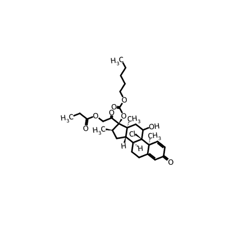 CCCCCOC(=O)O[C@]1(C(=O)COC(=O)CC)[C@H](C)C[C@H]2[C@@H]3CCC4=CC(=O)C=C[C@]4(C)[C@@]3(Cl)C(O)C[C@@]21C